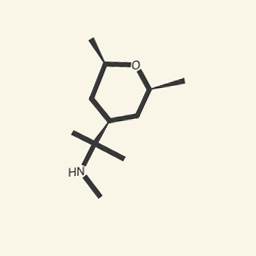 CNC(C)(C)[C@H]1C[C@@H](C)O[C@@H](C)C1